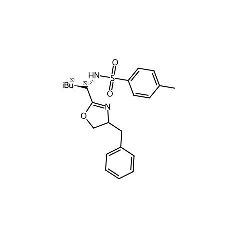 CC[C@H](C)[C@H](NS(=O)(=O)c1ccc(C)cc1)C1=NC(Cc2ccccc2)CO1